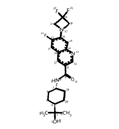 CC(C)(O)[C@H]1CC[C@H](NC(=O)c2cnc3cc(N4CC(F)(F)C4)c(F)cc3c2)CC1